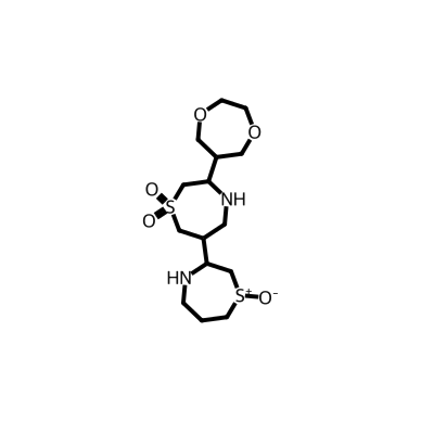 O=S1(=O)CC(C2C[S+]([O-])CCCN2)CNC(C2COCCOC2)C1